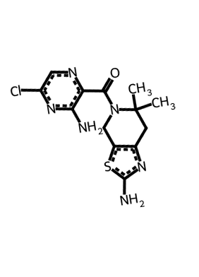 CC1(C)Cc2nc(N)sc2CN1C(=O)c1ncc(Cl)nc1N